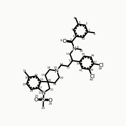 Cc1cc(C)cc(C(=O)N(C)CC(CCN2CCC3(CC2)CN(S(C)(=O)=O)c2ccc(C)cc23)c2ccc(Cl)c(Cl)c2)c1